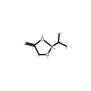 C=C1COB(C(C)C)O1